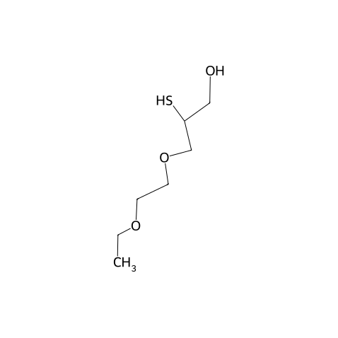 CCOCCOCC(S)CO